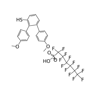 COc1ccc(-c2cccc(S)c2-c2ccc(OC)cc2)cc1.O=S(=O)(O)C(F)(F)C(F)(F)C(F)(F)C(F)(F)C(F)(F)C(F)(F)F